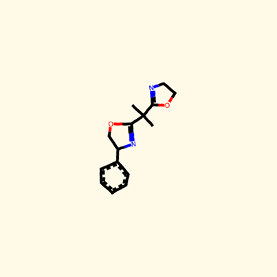 CC(C)(C1=NCCO1)C1=NC(c2ccccc2)CO1